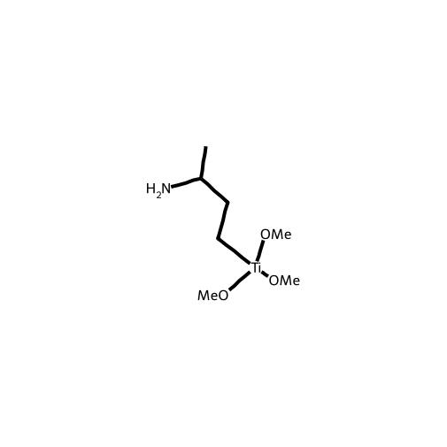 C[O][Ti]([CH2]CC(C)N)([O]C)[O]C